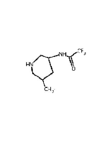 [CH2]C1CNCC(NC(=O)C(F)(F)F)C1